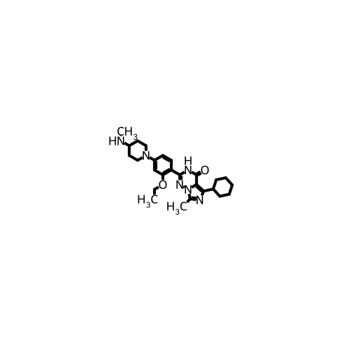 CCOc1cc(N2CCC(NC)CC2)ccc1-c1nn2c(C)nc(C3CCCCC3)c2c(=O)[nH]1